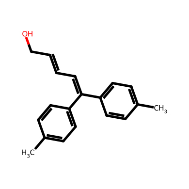 Cc1ccc(C(=CC=CCO)c2ccc(C)cc2)cc1